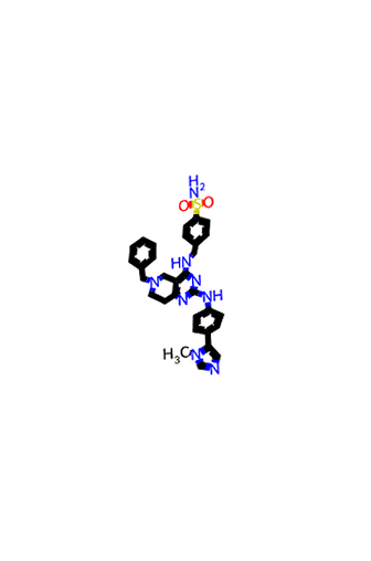 Cn1cncc1-c1ccc(Nc2nc3c(c(NCc4ccc(S(N)(=O)=O)cc4)n2)CN(Cc2ccccc2)CC3)cc1